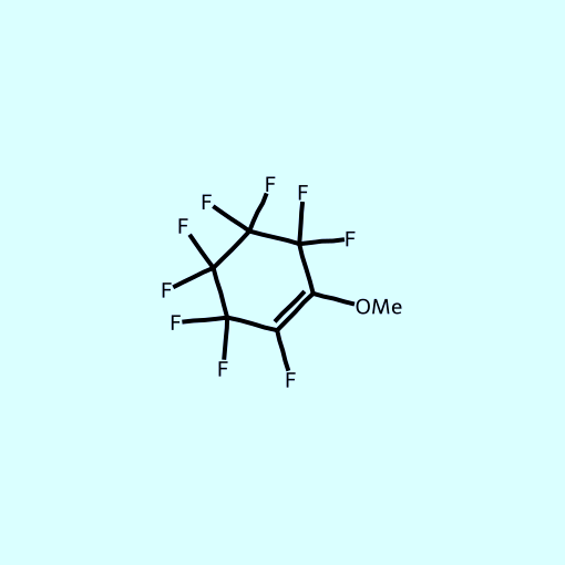 COC1=C(F)C(F)(F)C(F)(F)C(F)(F)C1(F)F